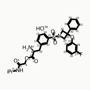 CC(C)NC(=O)COC(=O)[C@@H](N)Cc1cccc(S(=O)(=O)N2CC(Oc3cccc(F)c3)(c3ccccc3)C2)c1.Cl